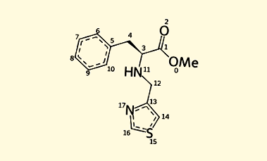 COC(=O)[C@H](Cc1ccccc1)NCc1cscn1